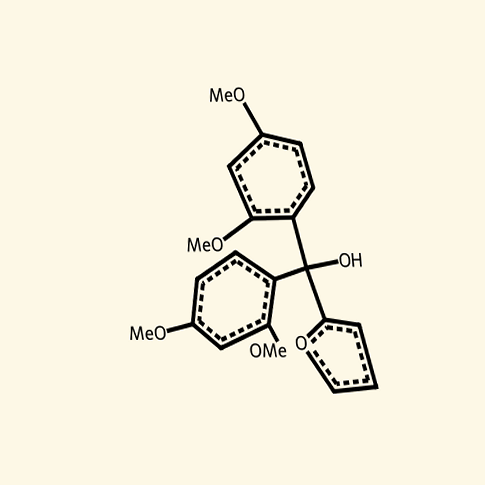 COc1ccc(C(O)(c2ccco2)c2ccc(OC)cc2OC)c(OC)c1